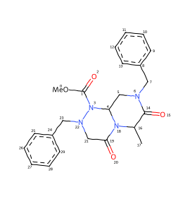 COC(=O)N1C2CN(Cc3ccccc3)C(=O)C(C)N2C(=O)CN1Cc1ccccc1